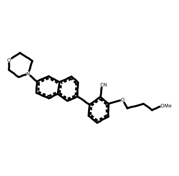 COCCCOc1cccc(-c2ccc3cc(N4CCOCC4)ccc3c2)c1C#N